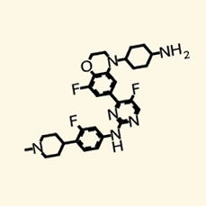 CN1CCC(c2ccc(Nc3ncc(F)c(-c4cc(F)c5c(c4)N(C4CCC(N)CC4)CCO5)n3)cc2F)CC1